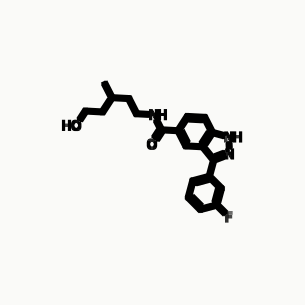 CC(CCO)CCNC(=O)c1ccc2[nH]nc(-c3cccc(F)c3)c2c1